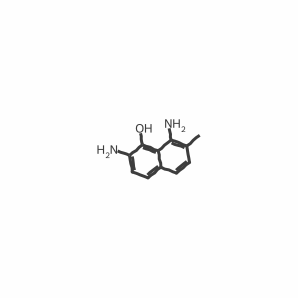 Cc1ccc2ccc(N)c(O)c2c1N